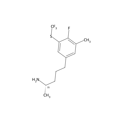 Cc1cc(CCC[C@H](C)N)cc(SC(F)(F)F)c1F